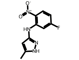 Cc1cc(Nc2cc(F)ccc2[N+](=O)[O-])n[nH]1